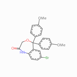 COc1ccc(C2(c3ccc(OC)cc3)OCC(=O)Nc3ccc(Br)cc32)cc1